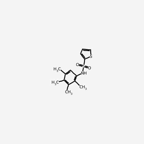 Cc1cc(NS(=O)(=O)c2cccs2)c(C)c(C)c1C